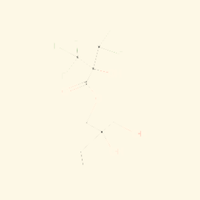 CCC(O)(CO)COC(=O)C(O)(C(F)(F)F)C(F)(F)F